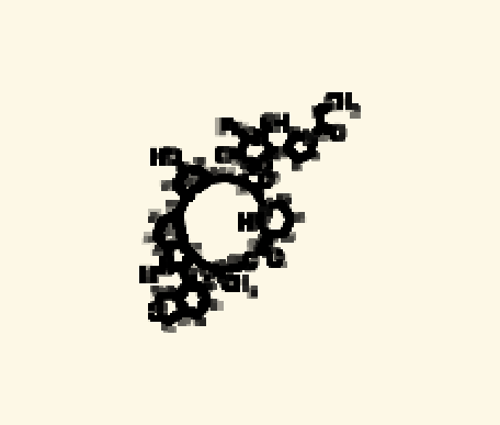 C=CC(=O)N1CC[C@H](C(=O)N(C)C(C(=O)N[C@H]2Cc3cc(O)cc(c3)-c3ccc4c(c3)c(c(-c3cccc5c3COC5)n4CC)CC(C)(C)COC(=O)[C@@H]3CCCN(N3)C2=O)C(C)C)C1